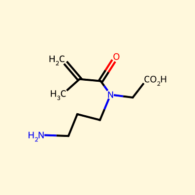 C=C(C)C(=O)N(CCCN)CC(=O)O